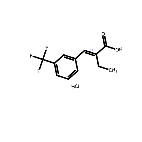 CC/C(=C\c1cccc(C(F)(F)F)c1)C(=O)O.Cl